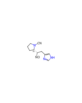 N#CN1CCC[C@H]1C(Cc1c[nH]cn1)N=O